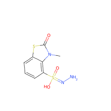 Cn1c(=O)sc2cccc(S(=O)(O)=NN)c21